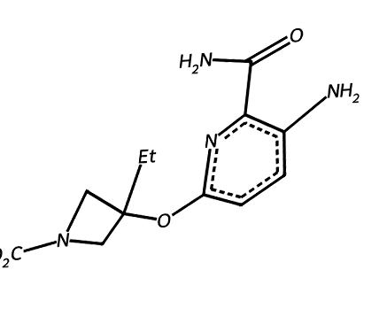 CCC1(Oc2ccc(N)c(C(N)=O)n2)CN(C(=O)O)C1